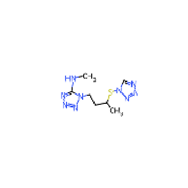 CNc1nnnn1CCC(C)Sn1cnnn1